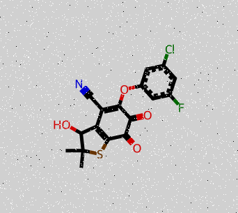 CC1(C)SC2=C(C(C#N)=C(Oc3cc(F)cc(Cl)c3)C(=O)C2=O)C1O